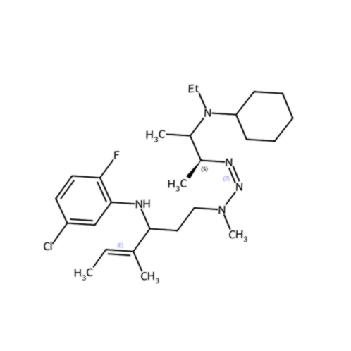 C/C=C(\C)C(CCN(C)/N=N\[C@@H](C)C(C)N(CC)C1CCCCC1)Nc1cc(Cl)ccc1F